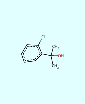 CC(C)(O)c1c[c]ccc1Cl